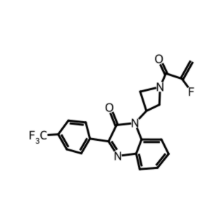 C=C(F)C(=O)N1CC(n2c(=O)c(-c3ccc(C(F)(F)F)cc3)nc3ccccc32)C1